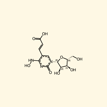 O=C(O)C=Cc1cn([C@@H]2O[C@H](CO)[C@@H](O)[C@H]2O)c(=O)nc1NO